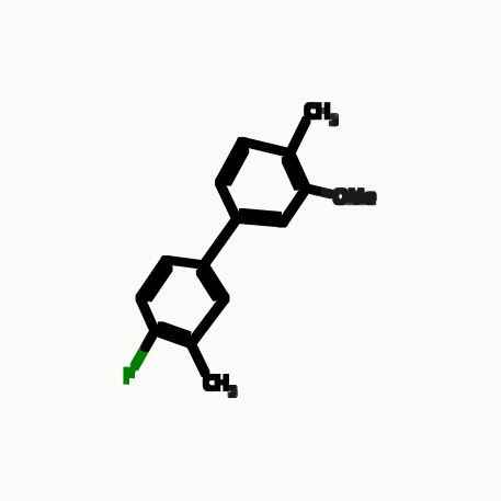 COc1cc(-c2ccc(F)c(C)c2)ccc1C